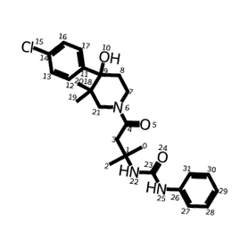 CC(C)(CC(=O)N1CCC(O)(c2ccc(Cl)cc2)C(C)(C)C1)NC(=O)Nc1ccccc1